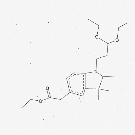 CCOC(=O)Cc1ccc2c(c1)C(C)(C)C(C)N2CCC(OCC)OCC